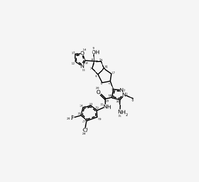 Cn1nc(C2CC3CC(O)(c4ncco4)CC3C2)c(C(=O)Nc2ccc(F)c(Cl)c2)c1N